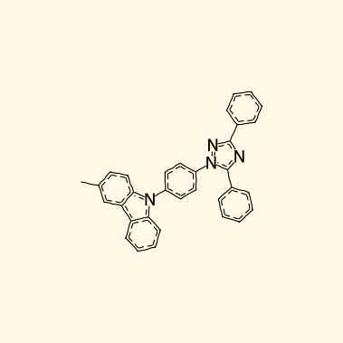 Cc1ccc2c(c1)c1ccccc1n2-c1ccc(-n2nc(-c3ccccc3)nc2-c2ccccc2)cc1